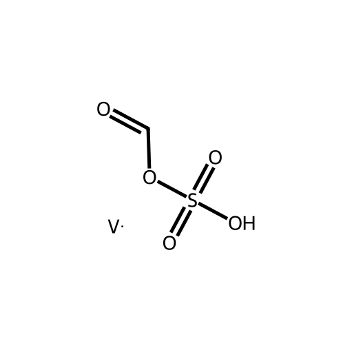 O=COS(=O)(=O)O.[V]